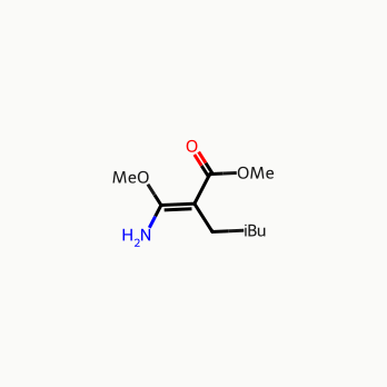 CCC(C)C/C(C(=O)OC)=C(\N)OC